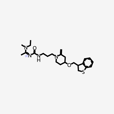 C=C1CC(OCC2CSc3ccccc32)CCN1CCCNC(=O)/N=C(/C)N(C)CC